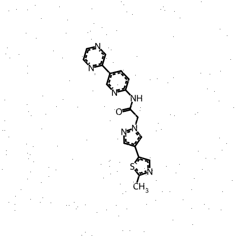 Cc1ncc(-c2cnn(CC(=O)Nc3ccc(-c4cnccn4)cn3)c2)s1